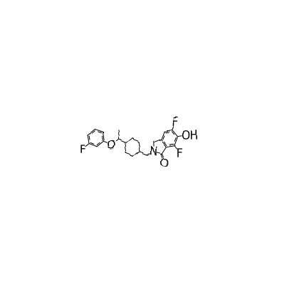 CC(Oc1cccc(F)c1)C1CCC(CN2Cc3cc(F)c(O)c(F)c3C2=O)CC1